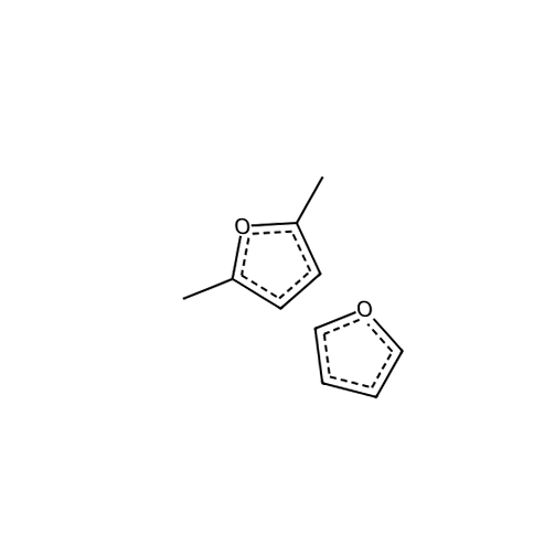 Cc1ccc(C)o1.c1ccoc1